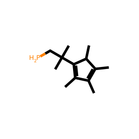 CC1=C(C)C(C)C(C(C)(C)CP)=C1C